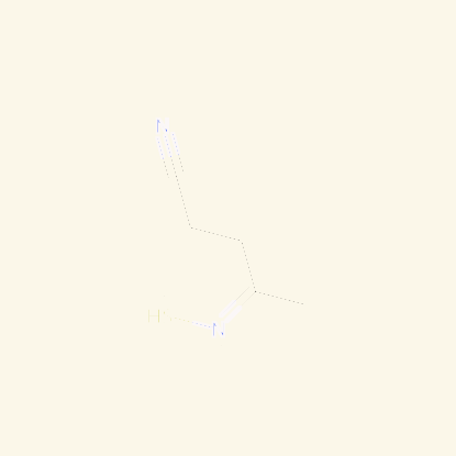 CC(CCC#N)=NS